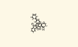 O=C1c2ccccc2C(O)(c2ccc3c(c2)NCCO3)N1c1cccc(-c2ccccc2)c1